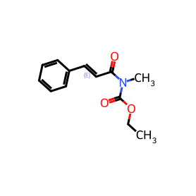 CCOC(=O)N(C)C(=O)/C=C/c1ccccc1